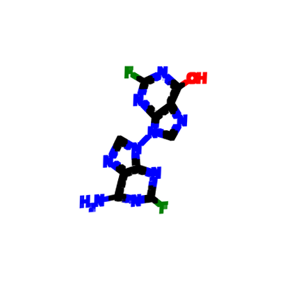 Nc1nc(F)nc2c1ncn2-n1cnc2c(O)nc(F)nc21